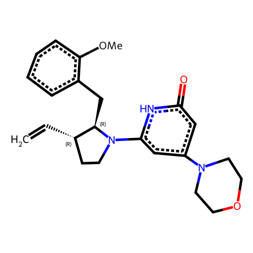 C=C[C@H]1CCN(c2cc(N3CCOCC3)cc(=O)[nH]2)[C@@H]1Cc1ccccc1OC